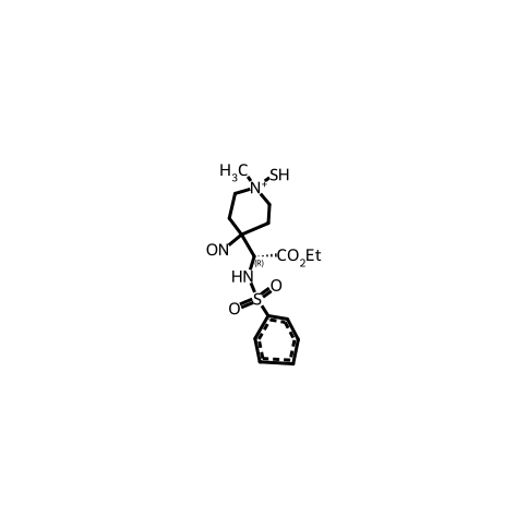 CCOC(=O)[C@H](NS(=O)(=O)c1ccccc1)C1(N=O)CC[N+](C)(S)CC1